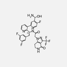 NC(O)c1cc(-c2cccnc2[C@H](Cc2cc(F)cc(F)c2)NC(=O)Cn2nc(C(F)(F)F)c3c2CCNC3=O)ccc1F